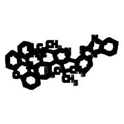 CC(C)(C)c1cnc(-c2cccc3c2sc2nc4ccccc4n23)c(C(C)(C)C)c1-c1cccc2c1Oc1ccccc1[Si]21c2ccccc2Oc2ccccc21